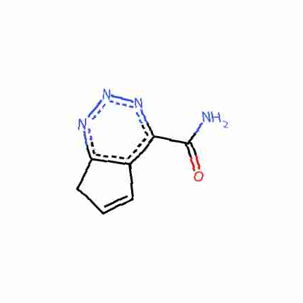 NC(=O)c1nnnc2c1C=CC2